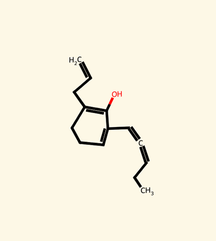 C=CCC1=C(O)C(C=C=CCC)=CCC1